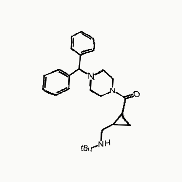 CC(C)(C)NCC1CC1C(=O)N1CCN(C(c2ccccc2)c2ccccc2)CC1